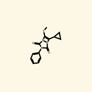 CSc1c(C2CC2)n2c(=O)n(-c3ccccc3)c(=O)n12